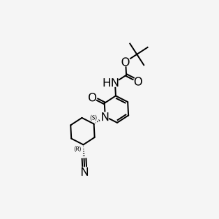 CC(C)(C)OC(=O)Nc1cccn([C@H]2CCC[C@@H](C#N)C2)c1=O